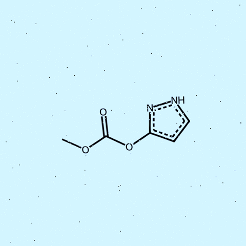 COC(=O)Oc1cc[nH]n1